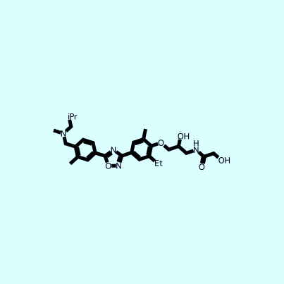 CCc1cc(-c2noc(-c3ccc(CN(C)CC(C)C)c(C)c3)n2)cc(C)c1OCC(O)CNC(=O)CO